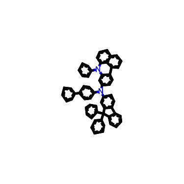 c1ccc(-c2ccc(N(c3ccc4c(c3)N(c3ccccc3)c3cccc5cccc-4c35)c3ccc4c(c3)C(c3ccccc3)(c3ccccc3)c3ccccc3-4)cc2)cc1